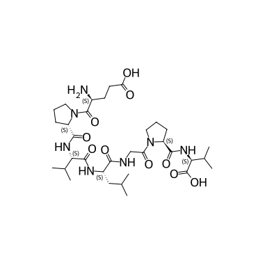 CC(C)C[C@H](NC(=O)[C@@H](NC(=O)[C@@H]1CCCN1C(=O)[C@@H](N)CCC(=O)O)C(C)C)C(=O)NCC(=O)N1CCC[C@H]1C(=O)N[C@H](C(=O)O)C(C)C